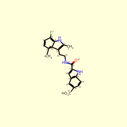 Cc1[nH]c2c(F)ccc(C)c2c1CCNC(=O)c1cc2cc(C(=O)O)ccc2[nH]1